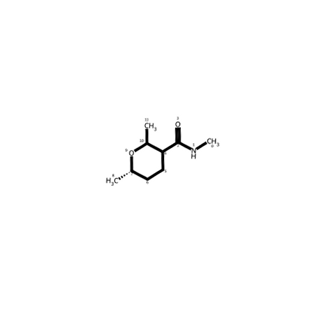 CNC(=O)C1CC[C@H](C)OC1C